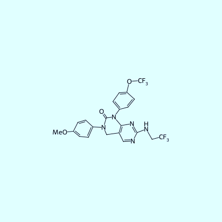 COc1ccc(N2Cc3cnc(NCC(F)(F)F)nc3N(c3ccc(OC(F)(F)F)cc3)C2=O)cc1